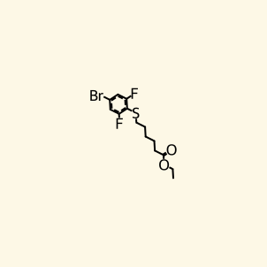 CCOC(=O)CCCCCSc1c(F)cc(Br)cc1F